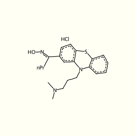 CCC/C(=N\O)c1ccc2c(c1)N(CCCN(C)C)c1ccccc1S2.Cl